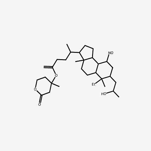 C=C(CCC(C)C1CCC2C3C(N=O)CC(CC(C)O)C(C)(CC)C3CCC12C)OC1(C)CCOC(=O)C1